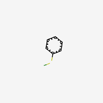 ClSc1[c]c[c]cc1